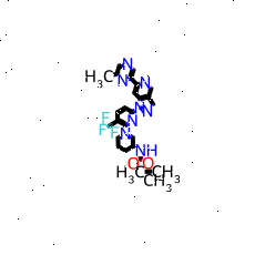 Cc1cncc(-c2cc3c(cn2)cnn3-c2ccc(C(F)(F)F)c(N3CCC[C@H](NC(=O)OC(C)(C)C)C3)n2)n1